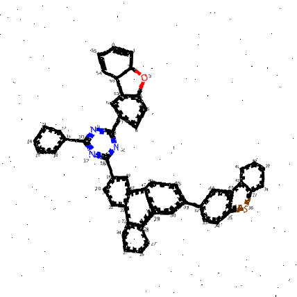 C1=CC2Oc3ccc(-c4nc(-c5ccccc5)nc(-c5ccc6c7ccccc7c7cc(-c8ccc9sc%10ccccc%10c9c8)ccc7c6c5)n4)cc3C2C=C1